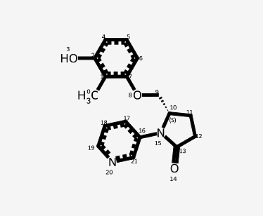 Cc1c(O)cccc1OC[C@@H]1CCC(=O)N1c1cccnc1